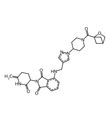 C=C1CCC(N2C(=O)c3cccc(NCc4cnn(C5CCN(C(=O)C67CC(CO6)C7)CC5)c4)c3C2=O)C(=O)N1